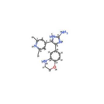 Cc1cc(-c2[nH]c(N)nc2-c2ccc3c(c2)NCCO3)cc(C)n1